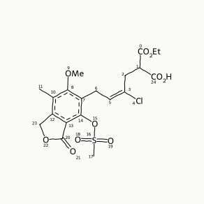 CCOC(=O)C(C/C(Cl)=C\Cc1c(OC)c(C)c2c(c1OS(C)(=O)=O)C(=O)OC2)C(=O)O